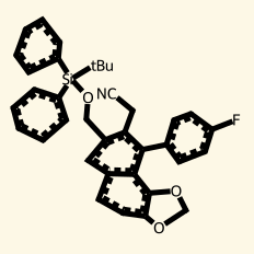 CC(C)(C)[Si](OCc1cc2ccc3c(c2c(-c2ccc(F)cc2)c1CC#N)OCO3)(c1ccccc1)c1ccccc1